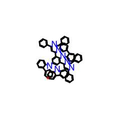 c1ccc(-c2cc(-c3cc(-n4c5ccccc5c5ccccc54)c(-n4c5ccccc5c5ccccc54)c(-c4cc(-c5ccccc5)nc(-c5ccccc5)n4)c3-n3c4ccccc4c4ccccc43)nc(-c3ccccc3)n2)cc1